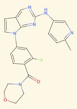 Cc1ccc(Nc2ncc3ccn(-c4ccc(C(=O)N5CCOCC5)c(F)c4)c3n2)cn1